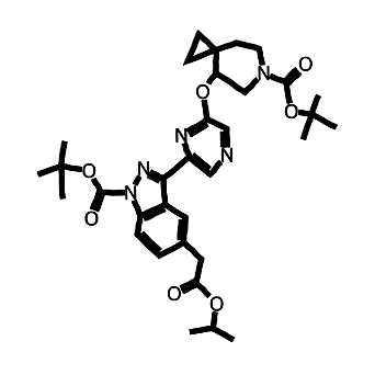 CC(C)OC(=O)Cc1ccc2c(c1)c(-c1cncc(OC3CN(C(=O)OC(C)(C)C)CCC34CC4)n1)nn2C(=O)OC(C)(C)C